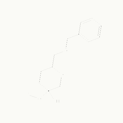 COC1(C)CCC(COCc2ccccc2)OC1